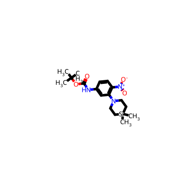 CC(C)(C)OC(=O)Nc1ccc([N+](=O)[O-])c(N2CC[Si](C)(C)CC2)c1